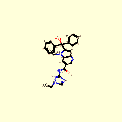 CCn1cnc(NC(=O)c2cnc3cc(C(O)(c4ccccc4)c4ccccc4)n(CC)c3c2)n1